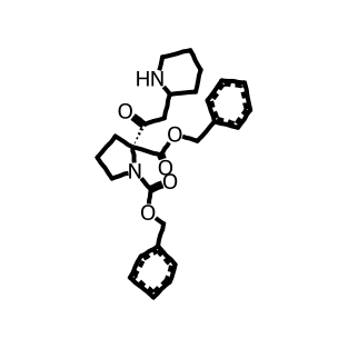 O=C(OCc1ccccc1)N1CCC[C@@]1(C(=O)CC1CCCCN1)C(=O)OCc1ccccc1